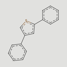 [c]1ccc(-c2csc(-c3ccccc3)c2)cc1